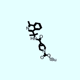 Cc1ncc(C(C)(C)NC(=O)C2C3CN(C(=O)OC(C)(C)C)CC32)c2ccccc12